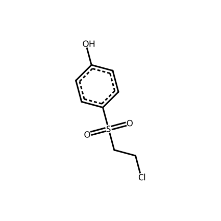 O=S(=O)(CCCl)c1ccc(O)cc1